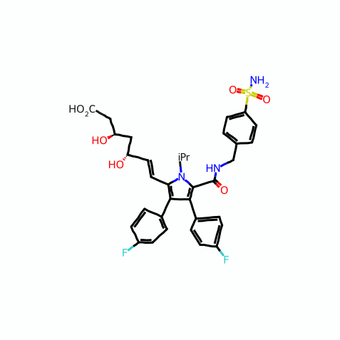 CC(C)n1c(/C=C/[C@H](O)C[C@@H](O)CC(=O)O)c(-c2ccc(F)cc2)c(-c2ccc(F)cc2)c1C(=O)NCc1ccc(S(N)(=O)=O)cc1